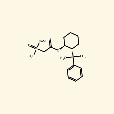 COP(C)(=O)CC(=O)O[C@H]1CCCC[C@@H]1C(C)(C)c1ccccc1